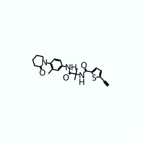 C#Cc1ccc(C(=O)NC(C)(C)C(=O)Nc2ccc(N3CCCCC3=O)c(C)c2)s1